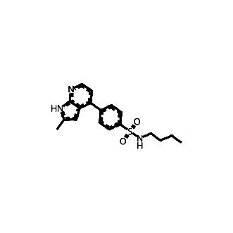 CCCCNS(=O)(=O)c1ccc(-c2ccnc3[nH]c(C)cc23)cc1